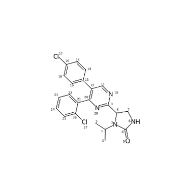 CC(C)N1C(=O)NCC1c1ncc(-c2ccc(Cl)cc2)c(-c2ccccc2Cl)n1